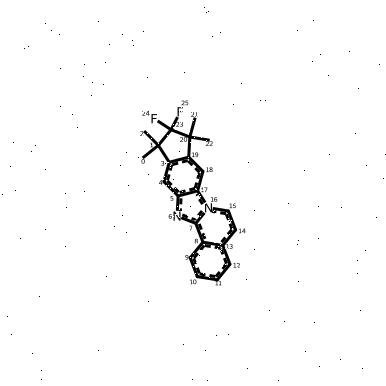 CC1(C)c2cc3nc4c5ccccc5ccn4c3cc2C(C)(C)C1(F)F